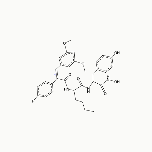 CCCCC(NC(=O)/C(=C\c1cc(OC)cc(OC)c1)c1ccc(F)cc1)C(=O)NC(Cc1ccc(O)cc1)C(=O)NO